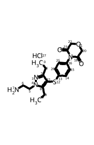 CCc1nn(CCN)c(CC)c1Sc1ccc(N2C(=O)COCC2=O)cc1.Cl